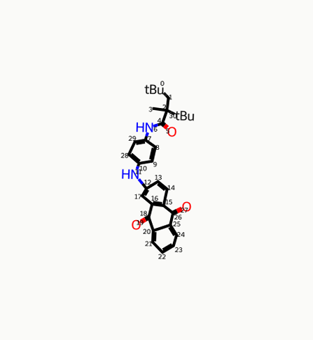 CC(C)(C)CC(C)(C(=O)Nc1ccc(Nc2ccc3c(c2)C(=O)c2ccccc2C3=O)cc1)C(C)(C)C